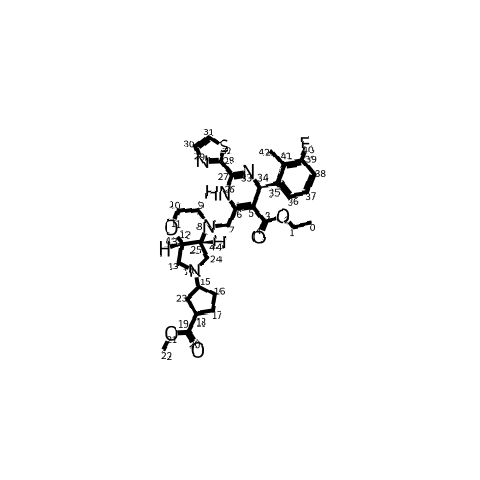 CCOC(=O)C1=C(CN2CCO[C@H]3CN(C4CCC(C(=O)OC)C4)C[C@H]32)NC(c2nccs2)=N[C@H]1c1cccc(F)c1C